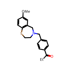 CCC(=O)c1ccc(CN2CCSc3ccc(OC)cc3C2)cc1